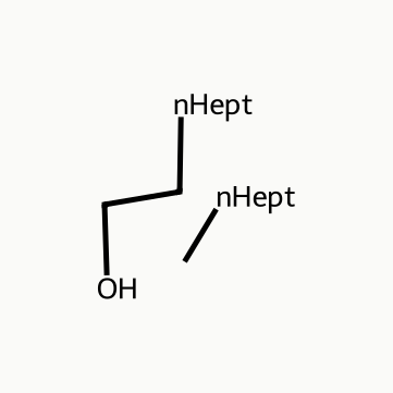 CCCCCCCC.CCCCCCCCCO